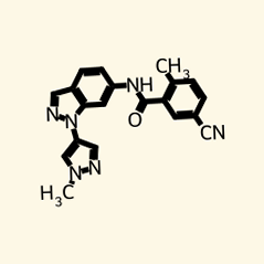 Cc1ccc(C#N)cc1C(=O)Nc1ccc2cnn(-c3cnn(C)c3)c2c1